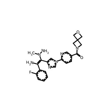 CN(N)/C(=C(\N)c1ccccc1F)c1cn(-c2ccc(C(=O)N3CC4(COC4)C3)cn2)cn1